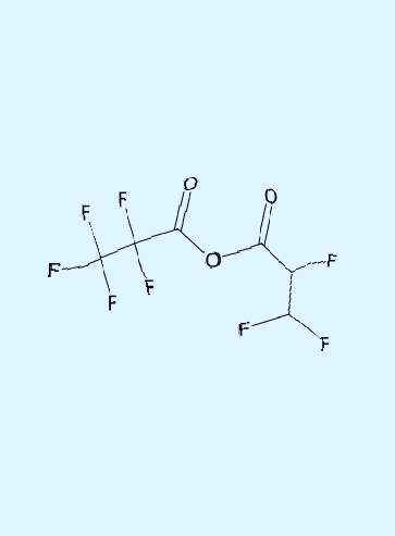 O=C(OC(=O)C(F)(F)C(F)(F)F)C(F)C(F)F